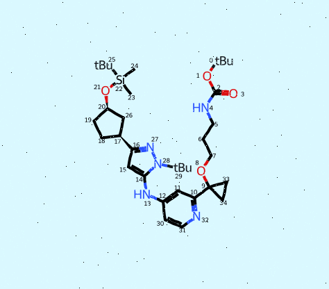 CC(C)(C)OC(=O)NCCCOC1(c2cc(Nc3cc([C@H]4CC[C@@H](O[Si](C)(C)C(C)(C)C)C4)nn3C(C)(C)C)ccn2)CC1